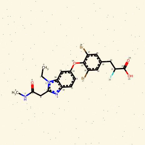 CCn1c(CC(=O)NC)nc2ccc(Oc3c(Br)cc(CC(F)C(=O)O)cc3Br)cc21